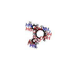 CC[C@H]1OC(=O)[C@H](C)[C@@H](O[C@H]2C[C@@](C)(OC)C(O)(CNC)[C@H](C)O2)[C@H](C)[C@@H](O[C@@H]2O[C@H](C)C[C@H](NC)[C@H]2O)[C@](C)(O)C[C@@H](C)[C@H](N)[C@H](C)[C@@H](O)[C@]1(C)O